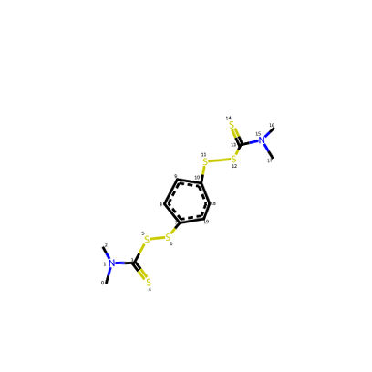 CN(C)C(=S)SSc1ccc(SSC(=S)N(C)C)cc1